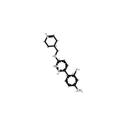 Cc1ccc(-c2ccc(OCC3CC=NCC3)nn2)c(F)c1